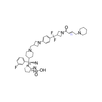 N#C[C@@](c1cccc(F)c1)(C1CCN(CC2CN(c3ccc(C(F)(F)C4CN(C(=O)/C=C/CN5CCCCC5)C4)cc3)C2)CC1)[C@H]1CCC[C@@H]1NC(=O)O